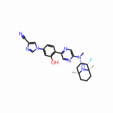 CN(c1cnc(-c2ccc(-n3cnc(C#N)c3)cc2O)cn1)[C@H]1C[C@]2(C)CCC[C@@](C)(N2)[C@H]1F